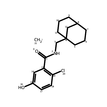 O=C(NCC12CCCC(CCC1)C2)c1cc(O)ccc1Cl.[CH2]